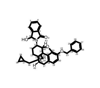 O=C1c2ccccc2C(O)N1[C@@H]1CC[C@@]2(O)[C@H]3Cc4ccc(OCc5ccccc5)c5c4[C@@]2(CCN3CC2CC2)[C@H]1O5